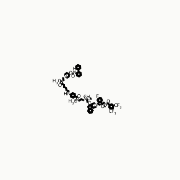 CN(CCN1CCC(OC(=O)Nc2ccccc2-c2ccccc2)CC1)C(=O)CCCCCNc1ccc(C(=O)N(C)CCCN(C)C(=O)CO[C@H]2Cc3ccccc3C23CCN(CC[C@@]2(c4ccc(F)cc4)CN(C(=O)c4cc(C(F)(F)F)cc(C(F)(F)F)c4)CO2)CC3)cc1